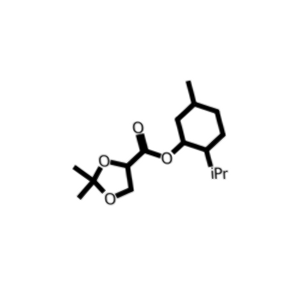 CC1CCC(C(C)C)C(OC(=O)C2COC(C)(C)O2)C1